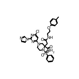 Cc1ccc(OCCNC(=O)CC2(C(N)=O)CN(c3cc(Cl)nc(-n4ccnc4)n3)CCN2S(=O)(=O)c2ccccc2)cc1